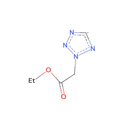 CCOC(=O)Cn1n[c]nn1